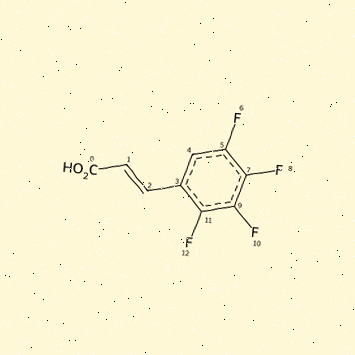 O=C(O)C=Cc1cc(F)c(F)c(F)c1F